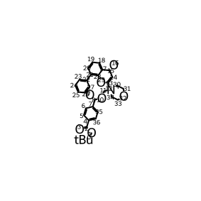 CC(C)(C)OC(=O)c1ccc(C(=O)OC[N+]2(c3cc(=O)c4cccc(-c5ccccc5)c4o3)CCOCC2)cc1